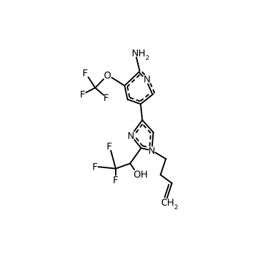 C=CCCn1cc(-c2cnc(N)c(OC(F)(F)F)c2)nc1C(O)C(F)(F)F